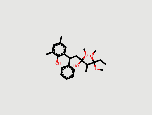 CCC(OC)(OC)C(C)C(O)(CC(c1ccccc1)c1cc(C)cc(C)c1O)OC